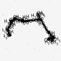 Cc1sc2c(c1C)C(c1ccc(Cl)cc1)=N[C@@H](CC(=O)Nc1ccc(OCCOCCOCCOCCNC(=O)[C@@H](CCC(=O)OC(C)(C)C)NC(=O)CCOCCOCCOCCNC(=O)CCNC(=O)c3nc(NC(=O)CCNC(=O)c4cc(NC(=O)c5nc(NC(=O)CCNC(=O)c6cc(NC(=O)c7nccn7C)cn6C)cn5C)cn4C)cn3C)cc1)c1nnc(C)n1-2